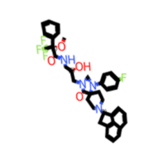 CO[C@@](C(=O)NC[C@@H](O)CN1CN(c2ccc(F)cc2)C2(CCN([C@@H]3Cc4cccc5cccc3c45)CC2)C1=O)(c1ccccc1)C(F)(F)F